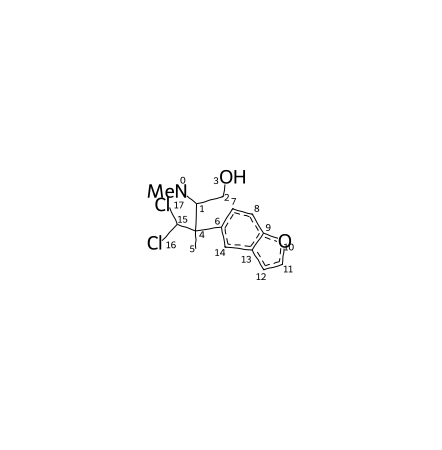 CNC(CO)C(C)(c1ccc2occc2c1)C(Cl)Cl